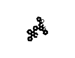 C/C=c1/c(C2=CC(c3cc4c(sc5ccccc54)c(C)c3/C=C3\COc4ccccc43)=CCC2)c2ccccc2c(-c2ccccc2)/c1=C/C